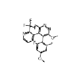 COc1cc(F)c(-c2c(OC)nnc(C)c2-c2cccnc2C(F)(F)F)c(F)c1